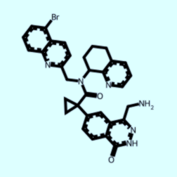 NCc1n[nH]c(=O)c2ccc(C3(C(=O)N(Cc4ccc5c(Br)cccc5n4)C4CCCc5cccnc54)CC3)cc12